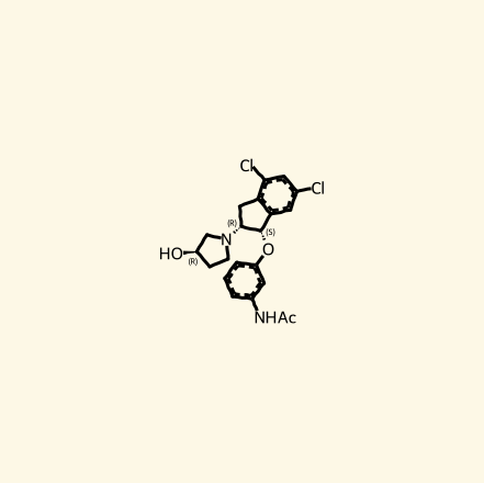 CC(=O)Nc1cccc(O[C@H]2c3cc(Cl)cc(Cl)c3C[C@H]2N2CC[C@@H](O)C2)c1